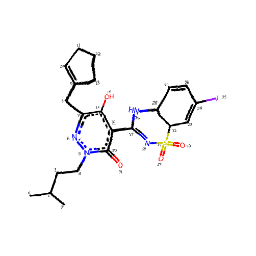 CC(C)CCn1nc(CC2=CCCC2)c(O)c(C2=NS(=O)(=O)C3C=C(I)C=CC3N2)c1=O